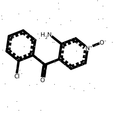 Nc1c[n+]([O-])ccc1C(=O)c1ccccc1Cl